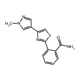 Cn1cc(-c2csc(-c3ccccc3C(N)=O)n2)cn1